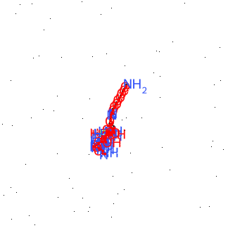 CCc1cc(OCCCCn2cc(COCCOCCOCCOCCOCCOCCOCCOCCN)nn2)ccc1-c1ccc(C[C@H](NC(=O)[C@H](CC(=O)O)NC(=O)[C@H](CO)NC(=O)[C@@H](NC(=O)C(C)(Cc2ccccc2F)NC(=O)[C@@H](NC(=O)CNC(=O)[C@H](Cc2nnn[nH]2)NC(=O)C(C)(C)C(=O)NCCc2cnc[nH]2)[C@@H](C)O)[C@@H](C)O)C(N)=O)cc1